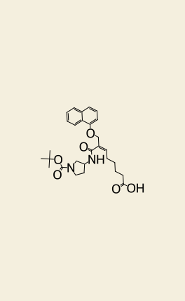 CC(C)(C)OC(=O)N1CCC(NC(=O)C(=CCCCCC(=O)O)COc2cccc3ccccc23)C1